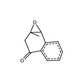 CC12CC(=O)c3ccccc3C1O2